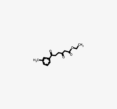 CCOC(=O)CC(=O)CCC(=O)c1cccc(C)c1